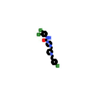 O=C(Nc1ccc(Cl)c(Cl)c1)N1CCN(C[C@@H]2CCCN(CCc3ccc(Cl)cc3)C2)CC1